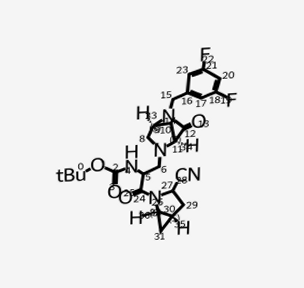 CC(C)(C)OC(=O)NC(CN1C[C@@H]2C[C@H]1C(=O)N2Cc1cc(F)cc(F)c1)C(=O)N1C(C#N)C[C@@H]2C[C@@H]21